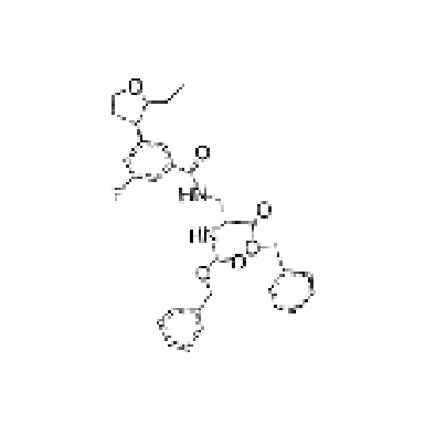 CC[C@@H]1OCC[C@@H]1c1cc(F)cc(C(=O)NC[C@@H](NC(=O)OCc2ccccc2)C(=O)OCc2ccccc2)c1